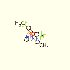 Cc1ccc(C(Cc2ccccc2)(NS(=O)(=O)Cc2ccc(C(C)(F)F)cc2)c2cccc(C(F)(F)F)c2)nc1